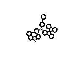 c1ccc(-c2ccc(N(c3ccc(-c4cccc5ccc6sc7ccccc7c6c45)cc3)c3ccc4c(c3)C(c3ccccc3)(c3ccccc3)c3ccccc3-4)cc2)cc1